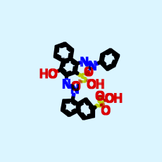 O=S(=O)(O)c1ccc2cccc(N=Nc3c(S(=O)(=O)O)c(N=Nc4ccccc4)c4ccccc4c3O)c2c1